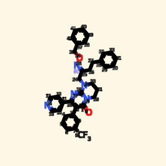 O=c1c(-c2cccc(C(F)(F)F)c2)c(-c2ccncc2)nc2n1CCCN2C/C(CCc1ccccc1)=N/OCc1ccccc1